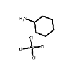 NC1CCCCC1.[Cl][W]([Cl])([Cl])[Cl]